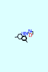 Cc1cc2c(c(NC3=NCCO3)c1)CCC(C)C2